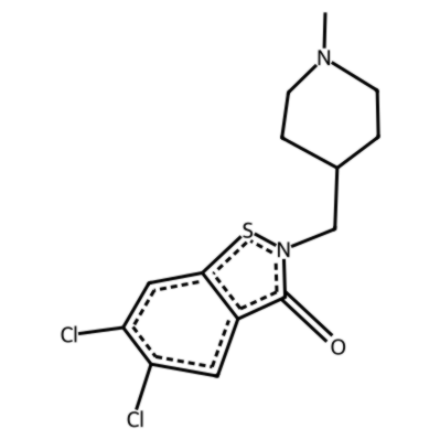 CN1CCC(Cn2sc3cc(Cl)c(Cl)cc3c2=O)CC1